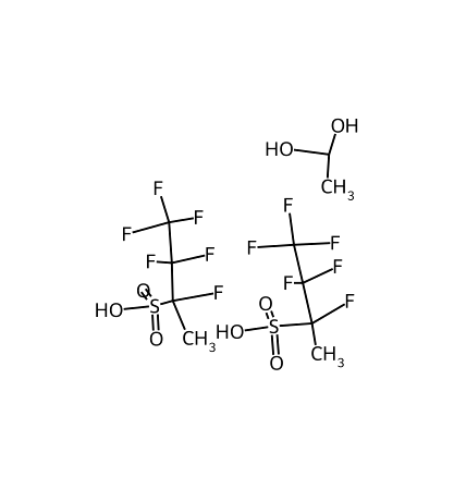 CC(F)(C(F)(F)C(F)(F)F)S(=O)(=O)O.CC(F)(C(F)(F)C(F)(F)F)S(=O)(=O)O.CC(O)O